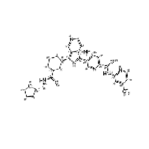 N[N+]12C=CN=CC1=C(N1CCCC(C(=O)NC[C@@H]3CCCO3)C1)N=C2c1ccc(C(=O)Nc2cc(C(F)(F)F)ccn2)cc1